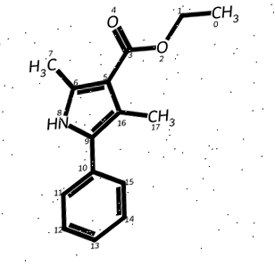 CCOC(=O)c1c(C)[nH]c(-c2ccccc2)c1C